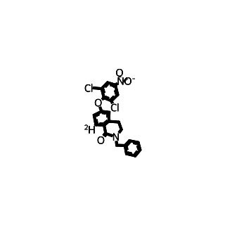 [2H]c1cc(Oc2c(Cl)cc([N+](=O)[O-])cc2Cl)cc2c1C(=O)N(Cc1ccccc1)CC2